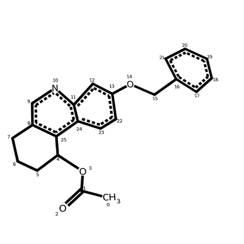 CC(=O)OC1CCCc2cnc3cc(OCc4ccccc4)ccc3c21